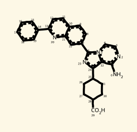 Nc1nccn2c(-c3ccc4ccc(-c5ccccc5)nc4c3)nc(C3CCC(C(=O)O)CC3)c12